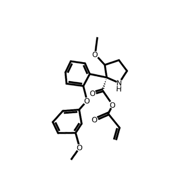 C=CC(=O)OC(=O)[C@@]1(c2ccccc2Oc2cccc(OC)c2)NCCC1OC